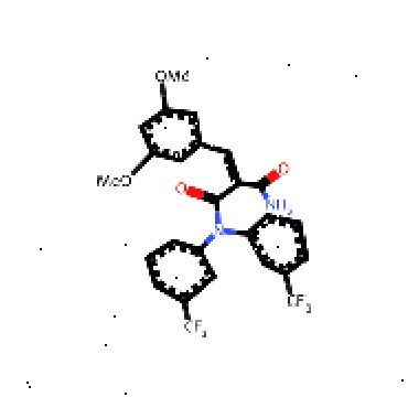 COc1cc(C=C(C(N)=O)C(=O)N(c2cccc(C(F)(F)F)c2)c2cccc(C(F)(F)F)c2)cc(OC)c1